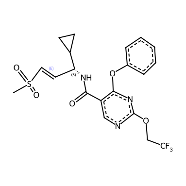 CS(=O)(=O)/C=C/[C@@H](NC(=O)c1cnc(OCC(F)(F)F)nc1Oc1ccccc1)C1CC1